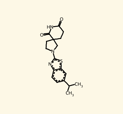 CC(C)c1ccc2nc(N3CCC4(CCC(=O)NC4=O)C3)sc2c1